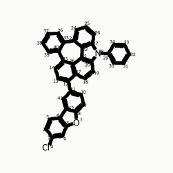 Clc1ccc2c(c1)oc1ccc(-c3ccc4c5c3ccc3c5c5c(cccc5n3-c3ccccc3)-c3ccccc3-4)cc12